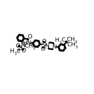 CN(c1ccccc1C(=O)Nc1ccc(S(=O)(=O)N2CCN(c3cccc(C(C)(C)C)c3)CC2)cc1)S(C)(=O)=O